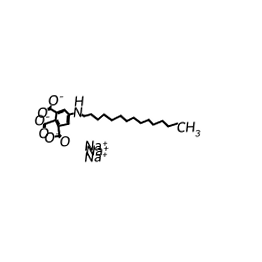 CCCCCCCCCCCCCCCNc1cc(C(=O)[O-])c(C(=O)[O-])c(C(=O)[O-])c1.[Na+].[Na+].[Na+]